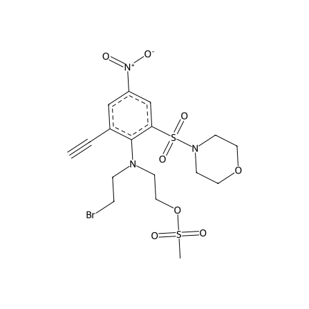 C#Cc1cc([N+](=O)[O-])cc(S(=O)(=O)N2CCOCC2)c1N(CCBr)CCOS(C)(=O)=O